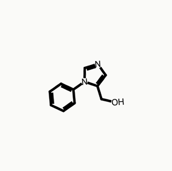 OCc1cncn1-c1ccccc1